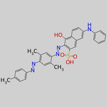 Cc1ccc(/N=N/c2cc(C)c(/N=N/c3c(S(=O)(=O)O)cc4cc(Nc5ccccc5)ccc4c3O)cc2C)cc1